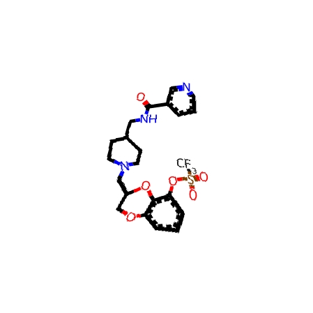 O=C(NCC1CCN(CC2COc3cccc(OS(=O)(=O)C(F)(F)F)c3O2)CC1)c1cccnc1